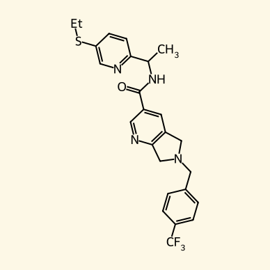 CCSc1ccc(C(C)NC(=O)c2cnc3c(c2)CN(Cc2ccc(C(F)(F)F)cc2)C3)nc1